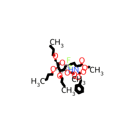 CCCCOC[C@H]1O[C@H](C(F)(F)CC(NC(=O)OCc2ccccc2)C(=O)OCC)[C@H](OCOC)[C@@H](OCCCC)[C@H]1OCCCC